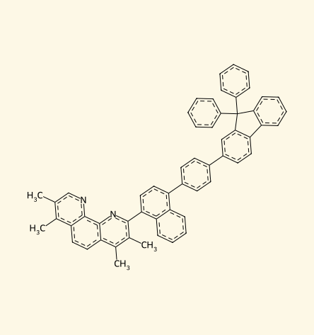 Cc1cnc2c(ccc3c(C)c(C)c(-c4ccc(-c5ccc(-c6ccc7c(c6)C(c6ccccc6)(c6ccccc6)c6ccccc6-7)cc5)c5ccccc45)nc32)c1C